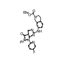 CC(C)n1c(=O)c2cnc(Nc3ccc4c(c3)CN(C(=O)OC(C)(C)C)CC4)nc2n1-c1ccc(F)cn1